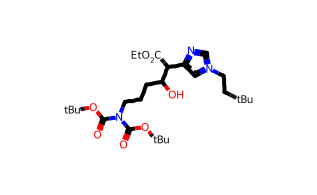 CCOC(=O)C(c1cn(CCC(C)(C)C)cn1)C(O)CCCN(C(=O)OC(C)(C)C)C(=O)OC(C)(C)C